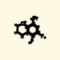 CC(C)c1cc(F)c(F)c2c1OCCC2